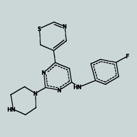 Fc1ccc(Nc2cc(C3=CN=CSC3)nc(N3CCNCC3)n2)cc1